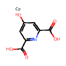 O=C(O)c1cc(O)cc(C(=O)O)n1.[Co]